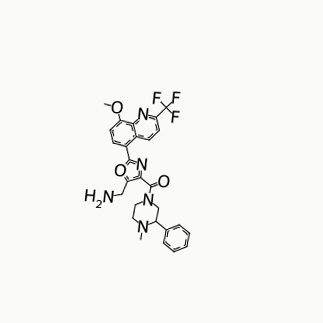 COc1ccc(-c2nc(C(=O)N3CCN(C)C(c4ccccc4)C3)c(CN)o2)c2ccc(C(F)(F)F)nc12